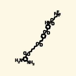 Nc1cc(N)cc(C(=O)OCCCCCCOC(=O)C=Cc2ccc(OC(=O)c3ccc(NC(=O)OCCCC(F)(F)F)cc3)cc2)c1